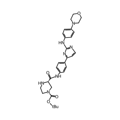 CC(C)(C)OC(=O)N1CCN[C@@H](C(=O)Nc2ccc(-c3ccnc(Nc4ccc(N5CCOCC5)cc4)n3)cc2)C1